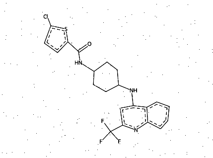 O=C(NC1CCC(Nc2cc(C(F)(F)F)nc3ccccc23)CC1)c1ccc(Cl)s1